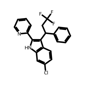 FC(F)(F)CC(c1ccccc1)c1c(-c2ccccn2)[nH]c2cc(Cl)ccc12